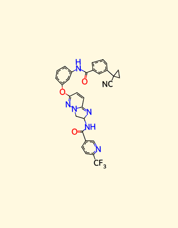 N#CC1(c2cccc(C(=O)Nc3cccc(OC4=NN5CC(NC(=O)c6ccc(C(F)(F)F)nc6)N=C5C=C4)c3)c2)CC1